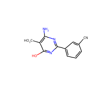 N#Cc1cccc(-c2nc(N)c(C(=O)O)c(O)n2)c1